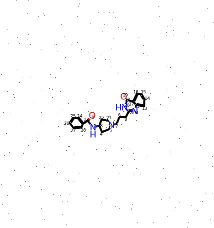 O=C(NC1CCN(CCCc2nc3ccccc3c(=O)[nH]2)CC1)c1ccccc1